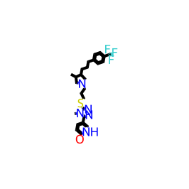 CC1CN(CCCSc2nnc(-c3ccc(=O)[nH]c3)n2C)CC1CCCc1ccc(C(F)(F)F)cc1